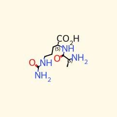 C[C@H](N)C(=O)N[C@@H](CCCNC(N)=O)C(=O)O